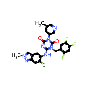 Cc1cncc(-n2c(=O)nc(Nc3cc4cn(C)nc4cc3Cl)n(Cc3cc(F)c(F)cc3F)c2=O)c1